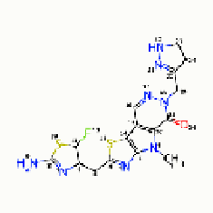 Cn1c2nc(CC3N=C(N)SC3F)sc2c2cnn(CC3=NNCC3)c(=O)c21